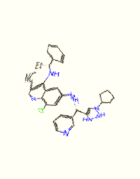 CC[C@@H](Nc1c(C#N)cnc2c(Cl)cc(N[C@H](C3=CN(C4CCCC4)NN3)c3cccnc3)cc12)c1ccccc1